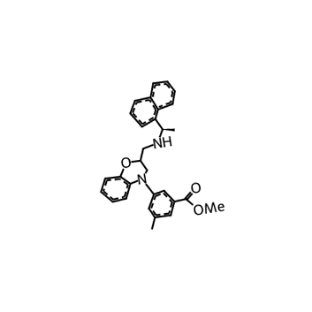 COC(=O)c1cc(C)cc(N2CC(CN[C@H](C)c3cccc4ccccc34)Oc3ccccc32)c1